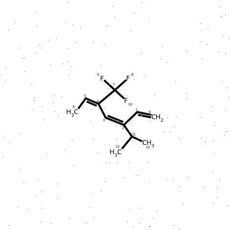 C=C/C(=C\C(=C/C)C(F)(F)F)C(C)C